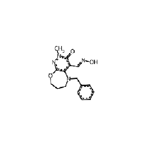 Cn1nc2c(c(C=NO)c1=O)N(Cc1ccccc1)CCCO2